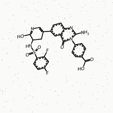 Nc1nc2ccc(C3=CN=C(O)C(NS(=O)(=O)c4ccc(F)cc4F)C3)cc2c(=O)n1-c1ccc(C(=O)O)cc1